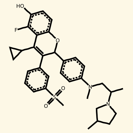 CC1CCN(C(C)CN(C)c2ccc(C3Oc4ccc(O)c(F)c4C(C4CC4)=C3c3cccc(S(C)(=O)=O)c3)cc2)C1